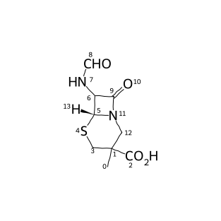 CC1(C(=O)O)CS[C@@H]2C(NC=O)C(=O)N2C1